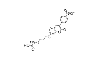 O=C(O)NOCCCOc1ccc2cc(-c3ccc([N+](=O)[O-])cc3)c(=O)oc2c1